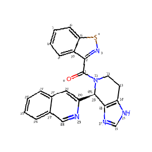 O=C(c1nsc2ccccc12)N1CCc2[nH]cnc2[C@H]1c1cc2ccccc2cn1